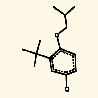 CC(C)COc1ccc(Cl)cc1C(C)(C)C